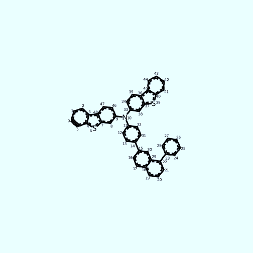 c1ccc2c(c#1)sc1cc(N(c3ccc(-c4ccc5cccc(-c6ccccc6)c5c4)cc3)c3ccc4c(c3)sc3ccccc34)ccc12